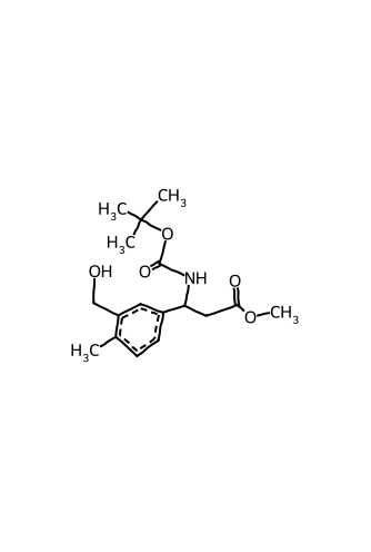 COC(=O)CC(NC(=O)OC(C)(C)C)c1ccc(C)c(CO)c1